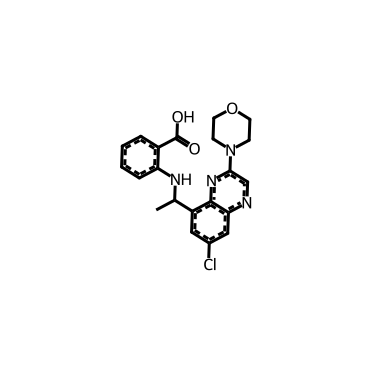 CC(Nc1ccccc1C(=O)O)c1cc(Cl)cc2ncc(N3CCOCC3)nc12